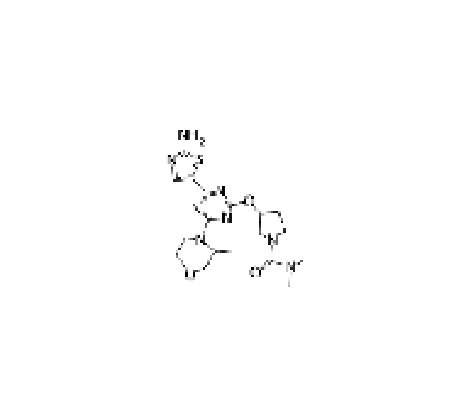 CC1COCCN1c1nc(OC2CCN(C(=O)N(C)C)C2)nc(-c2cnc(N)s2)n1